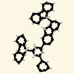 c1ccc(-c2nc(-c3ccc4c(c3)oc3c(-n5c6ccccc6c6ccccc65)cccc34)nc(-n3c4ccccc4c4ccccc43)n2)cc1